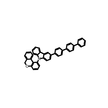 c1ccc(-c2ccc(-c3ccc(-c4ccc5c(c4)c4ccccc4n5-c4cccc5c4-c4ccccc4CO5)cc3)cc2)cc1